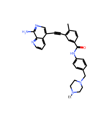 CCN1CCN(Cc2ccc(NC(=O)c3ccc(C)c(C#Cc4cnc(N)c5ncccc45)c3)cc2)CC1